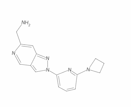 NCc1cc2nn(-c3cccc(N4CCC4)n3)cc2cn1